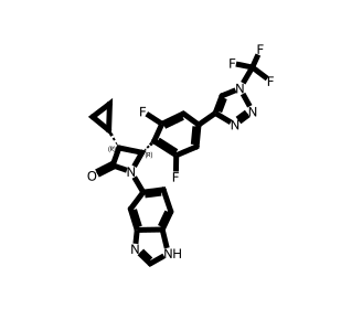 O=C1[C@H](C2CC2)[C@H](c2c(F)cc(-c3cn(C(F)(F)F)nn3)cc2F)N1c1ccc2[nH]cnc2c1